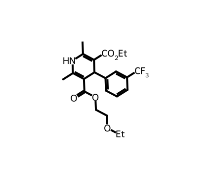 CCOCCOC(=O)C1=C(C)NC(C)=C(C(=O)OCC)C1c1cccc(C(F)(F)F)c1